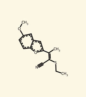 CCS/C(C#N)=C(\C)c1cc2cc(OC)ccc2o1